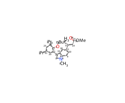 CCCCOc1c(-c2cn(C)c3ccc(/C(C)=C/C(=O)OC)cc23)cc(C(C)C)cc1C(C)C